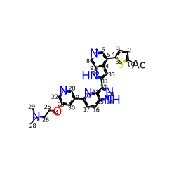 CC(=O)c1ccc(-c2cncc3[nH]c(-c4n[nH]c5ccc(-c6cncc(OCCN(C)C)c6)nc45)cc23)s1